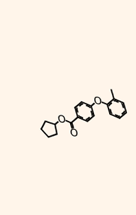 Cc1ccccc1Oc1ccc(C(=O)OC2CCCC2)cc1